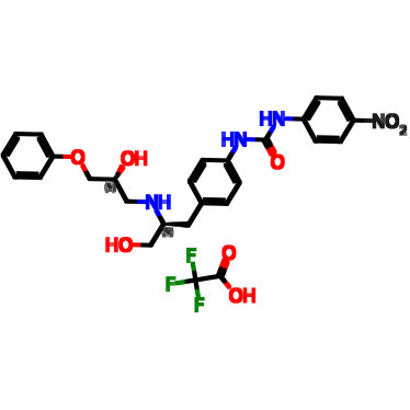 O=C(Nc1ccc(C[C@@H](CO)NC[C@H](O)COc2ccccc2)cc1)Nc1ccc([N+](=O)[O-])cc1.O=C(O)C(F)(F)F